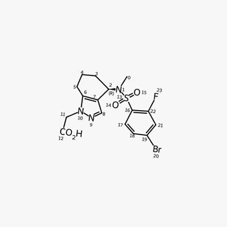 CN([C@@H]1CCCc2c1cnn2CC(=O)O)S(=O)(=O)c1ccc(Br)cc1F